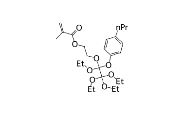 C=C(C)C(=O)OCCOC(OCC)(Oc1ccc(CCC)cc1)C(OCC)(OCC)OCC